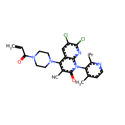 C=CC(=O)N1CCN(c2c(C#N)c(=O)n(-c3c(C)ccnc3C(C)C)c3nc(Cl)c(Cl)cc23)CC1